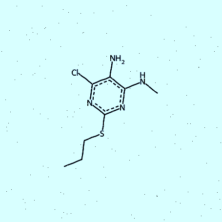 CCCSc1nc(Cl)c(N)c(NC)n1